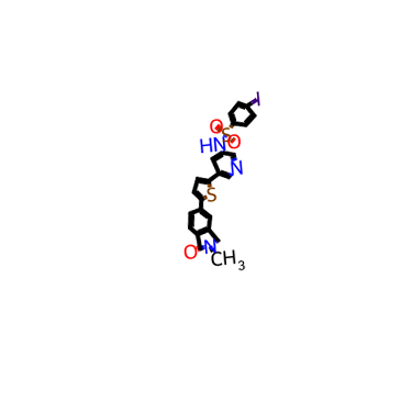 CN1Cc2cc(-c3ccc(-c4cncc(NS(=O)(=O)c5ccc(I)cc5)c4)s3)ccc2C1=O